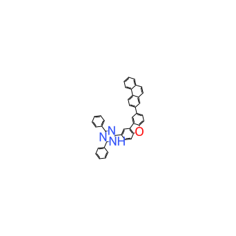 c1ccc(C2=NC(c3ccccc3)NC(c3ccc4oc5ccc(-c6ccc7c(ccc8ccccc87)c6)cc5c4c3)=N2)cc1